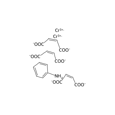 Nc1ccccc1.O=C([O-])/C=C\C(=O)[O-].O=C([O-])/C=C\C(=O)[O-].O=C([O-])/C=C\C(=O)[O-].[Cr+3].[Cr+3]